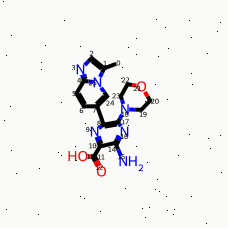 Cc1cnc2ccc(-c3nc(C(=O)O)c(N)nc3N3CCOCC3)cn12